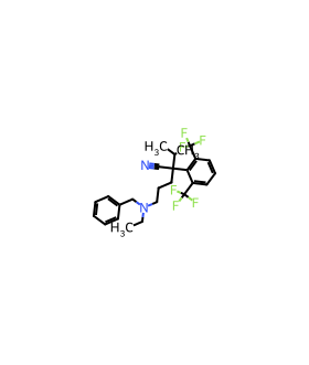 CCN(CCCC(C#N)(c1c(C(F)(F)F)cccc1C(F)(F)F)C(C)C)Cc1ccccc1